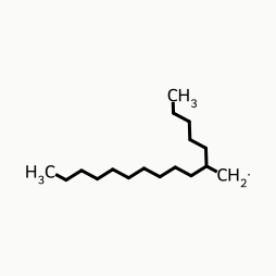 [CH2]C(CCCCC)CCCCCCCCCC